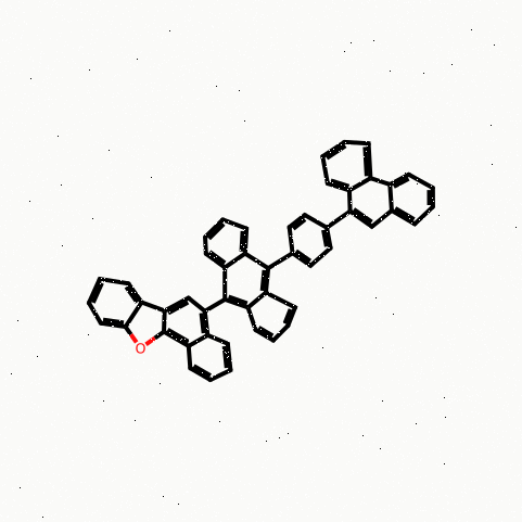 c1ccc2c(c1)cc(-c1ccc(-c3c4ccccc4c(-c4cc5c6ccccc6oc5c5ccccc45)c4ccccc34)cc1)c1ccccc12